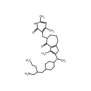 CCOC(CN)CC1CCC(N(C)c2sc3c(c2C)C(=O)N(Cc2c(C)cc(C)[nH]c2=O)CCC3)CC1